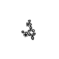 c1ccc(-c2ccc(-c3ccc(N(c4ccccc4)c4cccc(-c5cccc(N(c6ccccc6)c6ccc(-c7ccc(-c8cccs8)c8nsnc78)cc6)c5)c4)cc3)c3nsnc23)cc1